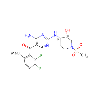 COc1ccc(F)c(F)c1C(=O)c1cnc(N[C@H]2CCN(S(C)(=O)=O)C[C@H]2O)nc1N